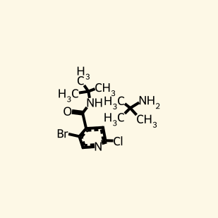 CC(C)(C)N.CC(C)(C)NC(=O)c1cc(Cl)ncc1Br